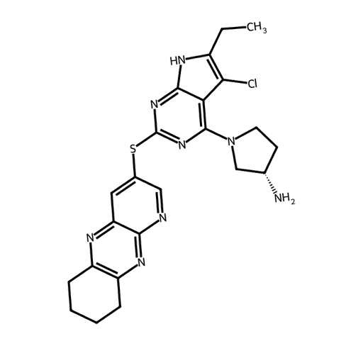 CCc1[nH]c2nc(Sc3cnc4nc5c(nc4c3)CCCC5)nc(N3CC[C@H](N)C3)c2c1Cl